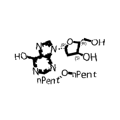 CCCCCOCCCCC.OC[C@H]1O[C@@H](n2cnc3c(O)ncnc32)C[C@@H]1O